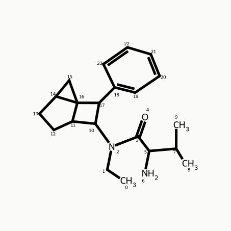 CCN(C(=O)C(N)C(C)C)C1C2CCC3CC32C1c1ccccc1